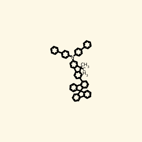 CC1(C)c2cc(-c3cccc4c3-c3ccccc3C43c4ccccc4-c4ccccc43)ccc2-c2ccc(N(c3ccc(-c4ccccc4)cc3)c3ccc(-c4ccccc4)cc3)cc21